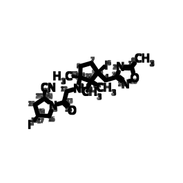 Cc1nc(C[C@@]2(I)CC[C@@](C)(NCC(=O)N3C[C@@H](F)C[C@H]3C#N)C2(C)C)no1